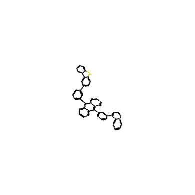 c1cc(-c2ccc3sc4ccccc4c3c2)cc(-c2c3ccccc3c(-c3cccc(-c4cccc5ccccc45)c3)c3ccccc23)c1